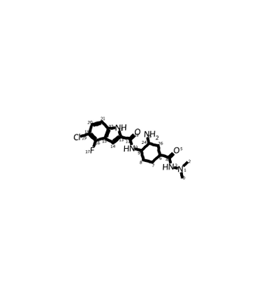 CN(C)NC(=O)C1CCC(NC(=O)c2cc3c(F)c(Cl)ccc3[nH]2)C(N)C1